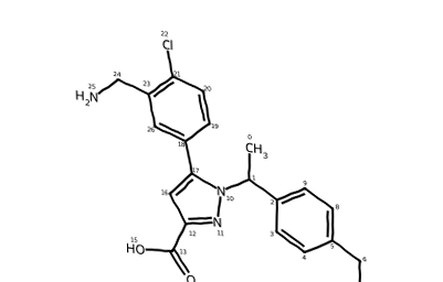 CC(c1ccc(CN)cc1)n1nc(C(=O)O)cc1-c1ccc(Cl)c(CN)c1